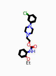 CCOc1ccccc1NC(=O)OCCN1CCN(c2cccc(Cl)c2)CC1